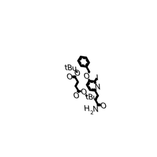 CC(C)(C)OC(=O)CCC(=O)OC(C)(C)C.NC(=O)CCc1ccc(OCc2ccccc2)c(I)n1